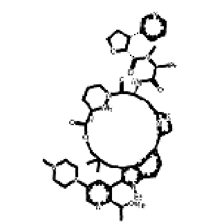 CCn1c(-c2cc(N3CCN(C)CC3)cnc2[C@H](C)OC)c2c3cc(ccc31)-c1csc(n1)C[C@H](NC(=O)C(C(C)C)N(C)C(=O)[C@@H]1OCC[C@@H]1c1cccnc1)C(=O)N1CCC[C@H](N1)C(=O)OCC(C)(C)C2